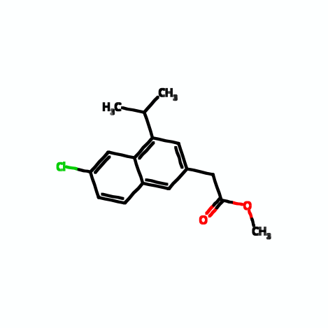 COC(=O)Cc1cc(C(C)C)c2cc(Cl)ccc2c1